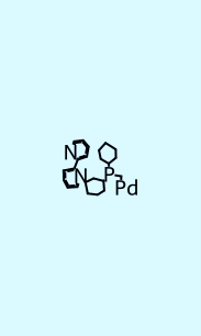 [Pd][CH2]P(C1CCCCC1)C1CCCCC1.c1ccc(-c2ccccn2)nc1